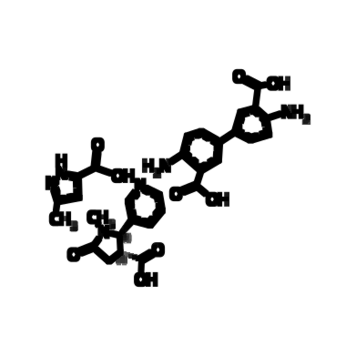 CN1C(=O)C[C@@H](C(=O)O)[C@@H]1c1cccnc1.Cc1cc(C(=O)O)[nH]n1.Nc1ccc(-c2ccc(N)c(C(=O)O)c2)cc1C(=O)O